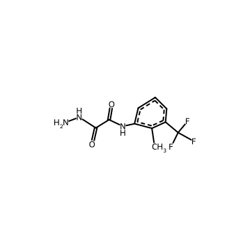 Cc1c(NC(=O)C(=O)NN)cccc1C(F)(F)F